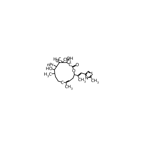 CCCC1C(=O)C(C)(C)C(O)CC(=O)OC(C(C)=Cc2csc(C)n2)CC=C(C)CCCC(C)C1O